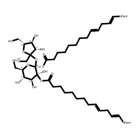 CCCCC/C=C/C/C=C/CCCCCCCC(=O)O[C@@]1(OC2(CO)O[C@H](CO)[C@@H](O)[C@@H]2O)O[C@H](CO)[C@@H](O)[C@H](O)[C@]1(O)OC(=O)CCCCCCC/C=C/C/C=C/CCCCC